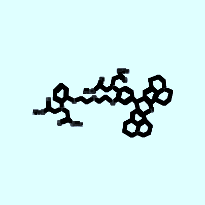 COC(=O)CN(CC(=O)OC)c1ccccc1OCCOCCOc1cc(C2c3cc4c5c(c3Oc3c2cc2c6c3CCCN6CCC2)CCCN5CCC4)ccc1N(CC(=O)OC)CC(=O)OC